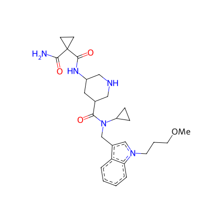 COCCCn1cc(CN(C(=O)C2CNCC(NC(=O)C3(C(N)=O)CC3)C2)C2CC2)c2ccccc21